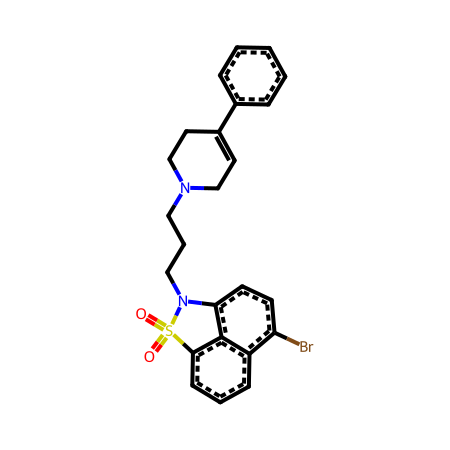 O=S1(=O)c2cccc3c(Br)ccc(c23)N1CCCN1CC=C(c2ccccc2)CC1